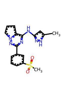 Cc1cc(Nc2nc(-c3cccc(S(C)(=O)=O)c3)nn3cccc23)n[nH]1